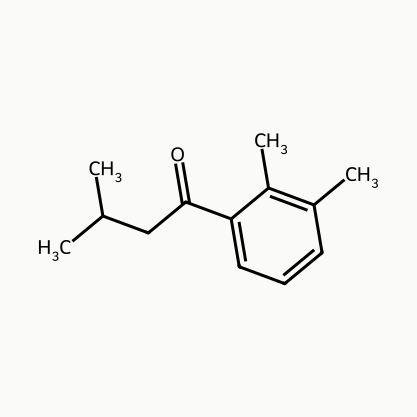 Cc1cccc(C(=O)CC(C)C)c1C